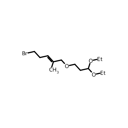 CCOC(CCOC/C(C)=C/CCBr)OCC